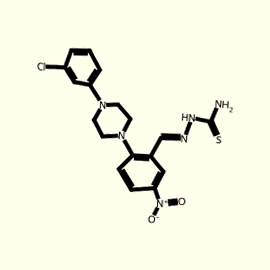 NC(=S)NN=Cc1cc([N+](=O)[O-])ccc1N1CCN(c2cccc(Cl)c2)CC1